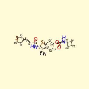 N#Cc1c(NC(=O)C=Cc2ccsc2)sc2c1CCC(OC(=O)NC1CCC1)C2